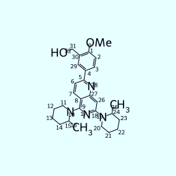 COc1ccc(-c2ccc3c(N4CCCCC4C)nc(N4CCCCC4C)cc3n2)cc1CO